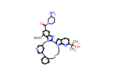 COc1cc(C(=O)N2CCCC(N)C2)cc2nc3n(c12)Cc1cncc(c1)-c1ccccc1CCCCn1c-3cc2ccc(C(C)(C)O)nc21